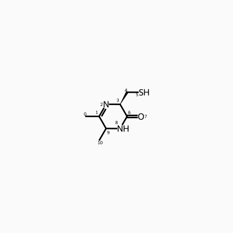 CC1=N[C@@H](CS)C(=O)NC1C